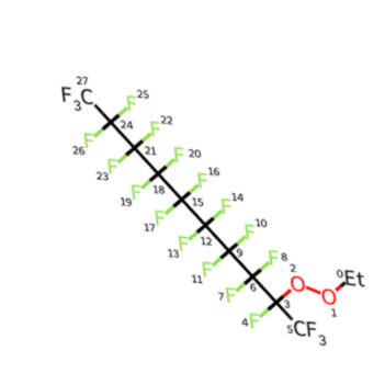 CCOOC(F)(C(F)(F)F)C(F)(F)C(F)(F)C(F)(F)C(F)(F)C(F)(F)C(F)(F)C(F)(F)C(F)(F)F